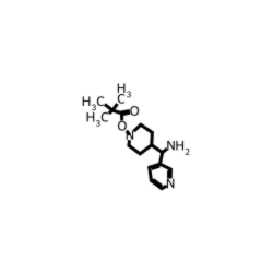 CC(C)(C)C(=O)ON1CCC(C(N)c2cccnc2)CC1